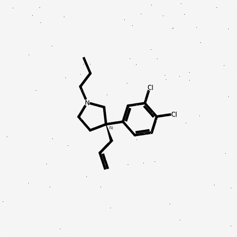 C=CC[C@@]1(c2ccc(Cl)c(Cl)c2)CCN(CCC)C1